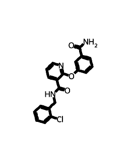 NC(=O)c1cccc(Oc2ncccc2C(=O)NCc2ccccc2Cl)c1